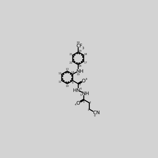 N#CCCC(=O)NNC(=O)c1ccccc1Nc1ccc(C(F)(F)F)cc1